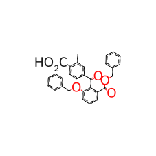 Cc1cc(C(=O)c2c(OCc3ccccc3)cccc2C(=O)OCc2ccccc2)ccc1C(=O)O